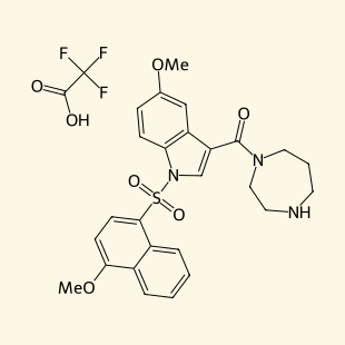 COc1ccc2c(c1)c(C(=O)N1CCCNCC1)cn2S(=O)(=O)c1ccc(OC)c2ccccc12.O=C(O)C(F)(F)F